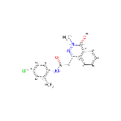 Cn1nc(CC(=O)Nc2ccc(Cl)cc2C(F)(F)F)c2ccccc2c1=O